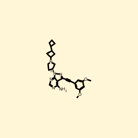 COc1cc(C#Cc2nn([C@H]3CCN(C4CC(C5CCC5)C4)C3)c3ncnc(N)c23)cc(OC)c1